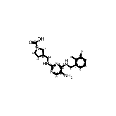 Cc1c(I)cccc1CNc1nc(NCC2CCN(C(=O)O)C2)ncc1N